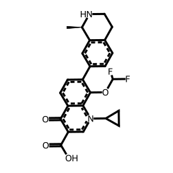 C[C@H]1NCCc2ccc(-c3ccc4c(=O)c(C(=O)O)cn(C5CC5)c4c3OC(F)F)cc21